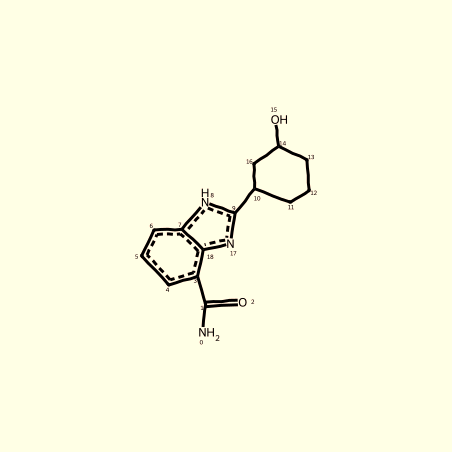 NC(=O)c1cccc2[nH]c(C3CCCC(O)C3)nc12